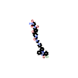 O=C1CC[C@H](N2Cc3c(ccc4c3OCC43CCN(CC(=O)N4CC(N5CCC(c6ccc7c(c6)C6(CCCCC6)c6nc(=O)c8c(Cl)cccc8n6-7)CC5)C4)CC3)C2=O)C(=O)N1